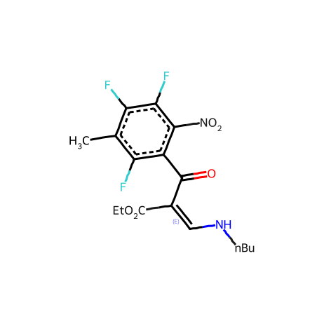 CCCCN/C=C(/C(=O)OCC)C(=O)c1c(F)c(C)c(F)c(F)c1[N+](=O)[O-]